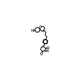 O=C1CCN(c2ccc(CCCN3CCOC4(CCNCC4)C3)cc2)C(=O)N1